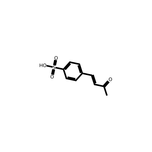 CC(=O)C=Cc1ccc(S(=O)(=O)O)cc1